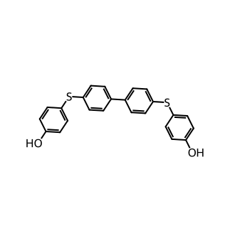 Oc1ccc(Sc2ccc(-c3ccc(Sc4ccc(O)cc4)cc3)cc2)cc1